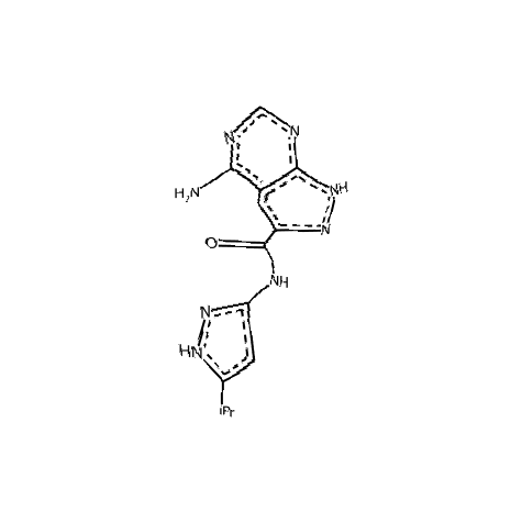 CC(C)c1cc(NC(=O)c2n[nH]c3ncnc(N)c23)n[nH]1